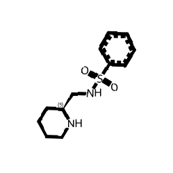 O=S(=O)(NC[C@@H]1CCCCN1)c1ccccc1